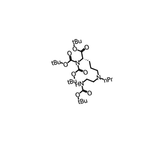 CCCN(CCC[C@@H](C(=O)OC(C)(C)C)N(C(=O)OC(C)(C)C)C(=O)OC(C)(C)C)CCNC(=O)OC(C)(C)C